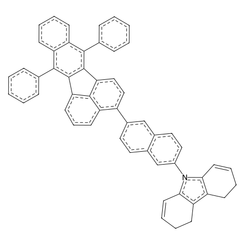 C1=Cc2c(c3c(n2-c2ccc4cc(-c5ccc6c7c(cccc57)-c5c-6c(-c6ccccc6)c6ccccc6c5-c5ccccc5)ccc4c2)C=CCC3)CC1